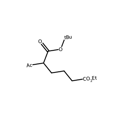 CCOC(=O)CCCC(C(C)=O)C(=O)OC(C)(C)C